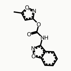 Cc1cc(OC(=O)Nc2noc3ccccc23)no1